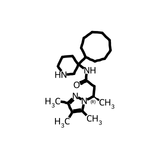 Cc1nn([C@H](C)CC(=O)NC2(C3CCCCCCCC3)CCCNC2)c(C)c1C